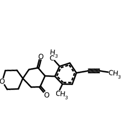 CC#Cc1cc(C)c(C2C(=O)CC3(CCOCC3)CC2=O)c(C)c1